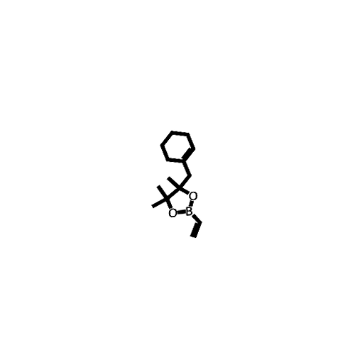 C=CB1OC(C)(C)C(C)(CC2=CCCCC2)O1